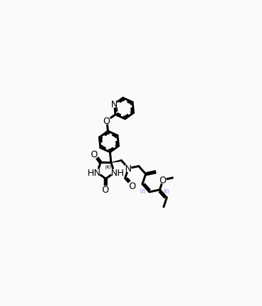 C=C(/C=C\C(=C/C)OC)CN(C=O)C[C@@]1(c2ccc(Oc3ccccn3)cc2)NC(=O)NC1=O